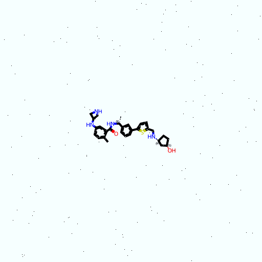 Cc1ccc(NC2CNC2)cc1C(=O)N[C@H](C)c1cccc(-c2ccc(CN[C@@H]3CC[C@H](O)C3)s2)c1